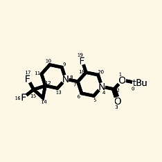 CC(C)(C)OC(=O)N1CCC(N2CCCC3(C2)CC3(F)F)C(F)C1